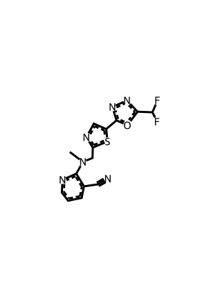 CN(Cc1ncc(-c2nnc(C(F)F)o2)s1)c1ncccc1C#N